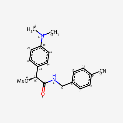 CO[C@H](C(=O)NCc1ccc(C#N)cc1)c1ccc(N(C)C)cc1